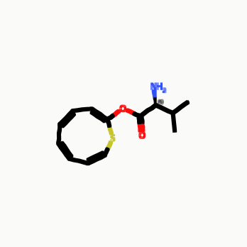 CC(C)[C@H](N)C(=O)Oc1cccccccs1